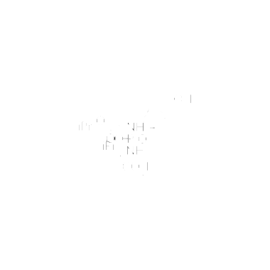 CC(C)OC(=O)[C@H](C)NP(=O)(NC(C)(C(=O)O)C(C)C)Oc1ccc(CO)cc1